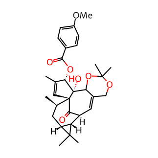 COc1ccc(C(=O)O[C@H]2C(C)=C[C@]34C(=O)[C@@H](C=C5COC(C)(C)OC5[C@]23O)[C@H]2[C@@H](C[C@H]4C)C2(C)C)cc1